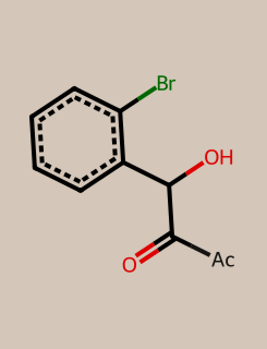 CC(=O)C(=O)C(O)c1ccccc1Br